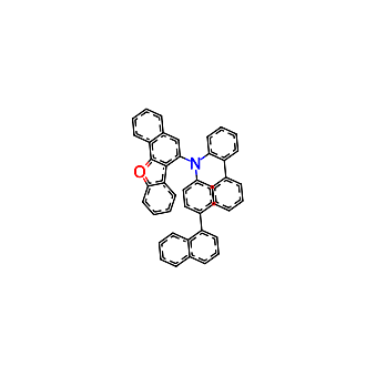 c1ccc(-c2ccccc2N(c2ccc(-c3cccc4ccccc34)cc2)c2cc3ccccc3c3oc4ccccc4c23)cc1